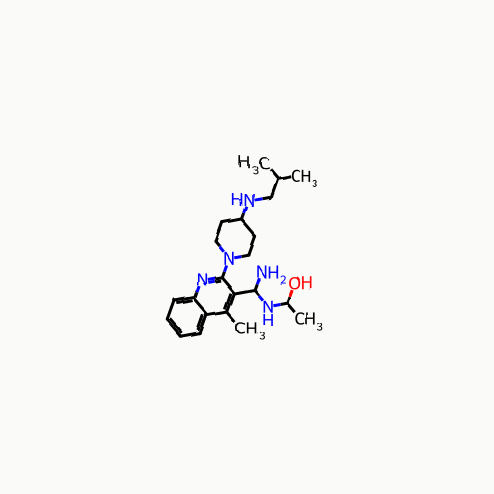 Cc1c(C(N)NC(C)O)c(N2CCC(NCC(C)C)CC2)nc2ccccc12